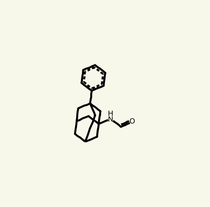 O=CNC12CC3CC(C1)CC(c1ccccc1)(C3)C2